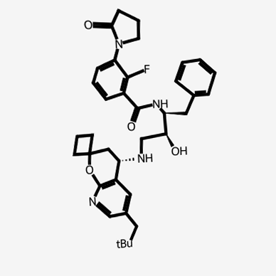 CC(C)(C)Cc1cnc2c(c1)[C@@H](NC[C@H](O)[C@H](Cc1ccccc1)NC(=O)c1cccc(N3CCCC3=O)c1F)CC1(CCC1)O2